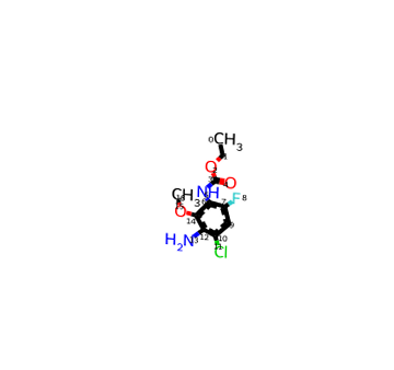 CCOC(=O)Nc1c(F)cc(Cl)c(N)c1OC